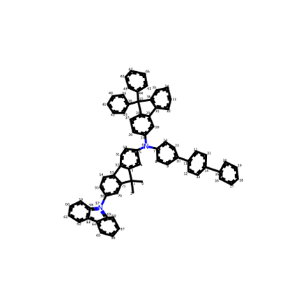 CC1(C)c2cc(N(c3ccc(-c4ccc(-c5ccccc5)cc4)cc3)c3ccc4c(c3)-c3ccccc3C4(c3ccccc3)c3ccccc3)ccc2-c2ccc(-n3c4ccccc4c4ccccc43)cc21